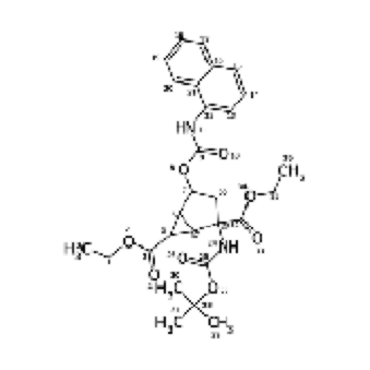 CCOC(=O)C1C2C(OC(=O)Nc3cccc4ccccc34)CC(NC(=O)OC(C)(C)C)(C(=O)OCC)C12